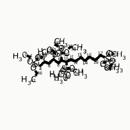 CCO[Si](CCCCCC(C(CCCCCCC[Si](OC)(OC)OC)[Si](OC)(OC)OC)[Si](OCC)(OCC)OCC)(OCC)OCC